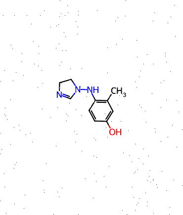 Cc1cc(O)ccc1NN1C=NCC1